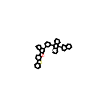 c1cc(-c2c3ccccc3c(-c3ccc4ccccc4c3)c3ccccc23)cc(-c2cc3oc4c(ccc5c6ccccc6sc54)c3c3ccccc23)c1